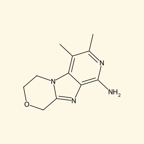 Cc1nc(N)c2nc3n(c2c1C)CCOC3